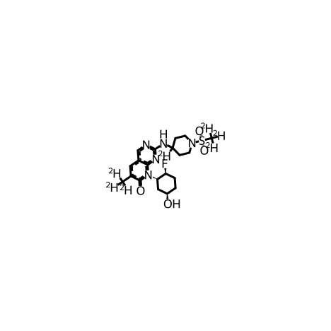 [2H]C1(Nc2ncc3cc(C([2H])([2H])[2H])c(=O)n([C@H]4C[C@H](O)CC[C@@H]4F)c3n2)CCN(S(=O)(=O)C([2H])([2H])[2H])CC1